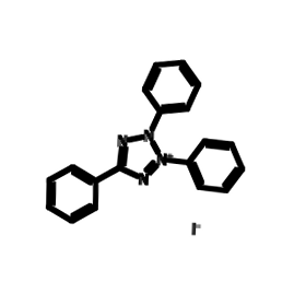 [I-].c1ccc(-c2nn(-c3ccccc3)[n+](-c3ccccc3)n2)cc1